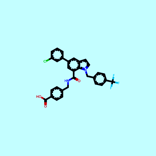 O=C(O)c1ccc(CNC(=O)c2cc(-c3cccc(Cl)c3)cc3ccn(Cc4ccc(C(F)(F)F)cc4)c23)cc1